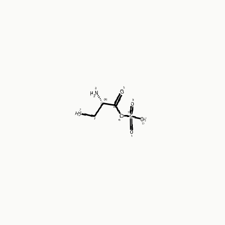 N[C@@H](CS)C(=O)OS(=O)(=O)O